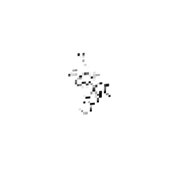 COC(=O)[C@H](CCSC)NC(=O)c1cc(C)c(C)n(CC2CCCCC2)c1=O